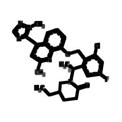 CCC1CCC(=O)N([C@@H](C)c2cc(F)cc(Cl)c2COc2cccc3c(-c4ncnn4C)cc(C)nc23)C1